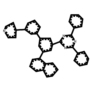 c1ccc(-c2nc(-c3ccccc3)nc(-c3cc(-c4cccc(-c5ccncc5)c4)cc(-c4cccc5ccccc45)c3)n2)cc1